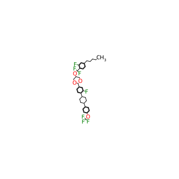 CCCCCc1ccc(C(F)(F)OC2COC(c3ccc(C4CCC(c5ccc(OC(F)(F)F)cc5)CC4)c(F)c3)OC2)c(F)c1